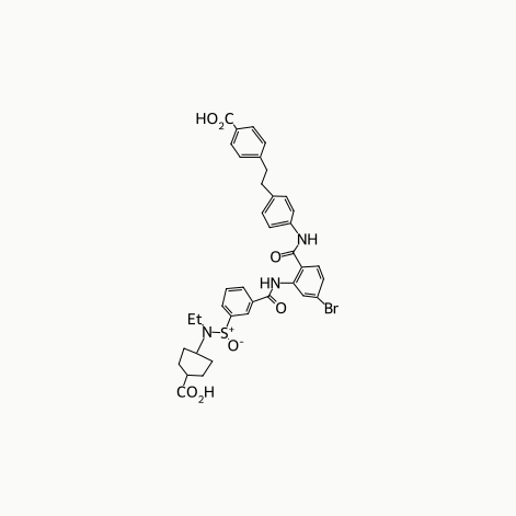 CCN(C1CCC(C(=O)O)CC1)[S+]([O-])c1cccc(C(=O)Nc2cc(Br)ccc2C(=O)Nc2ccc(CCc3ccc(C(=O)O)cc3)cc2)c1